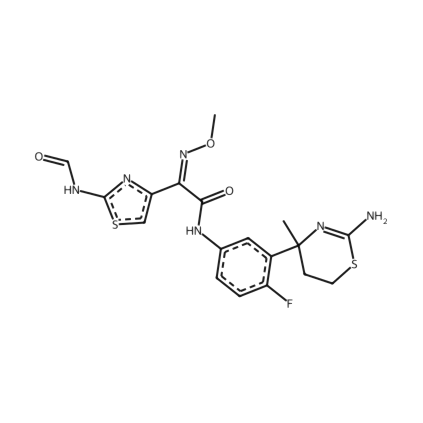 CO/N=C(\C(=O)Nc1ccc(F)c(C2(C)CCSC(N)=N2)c1)c1csc(NC=O)n1